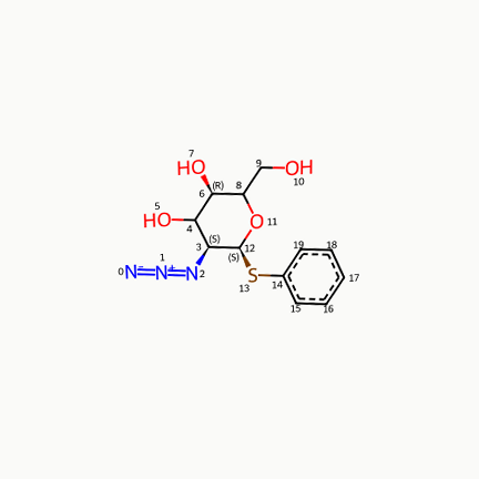 [N-]=[N+]=N[C@H]1C(O)[C@@H](O)C(CO)O[C@H]1Sc1ccccc1